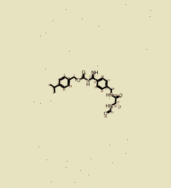 CC(C)c1ccc(COC(=O)NC(=N)c2ccc(CNC(=O)[C@H](C)NC=O)cc2)cc1